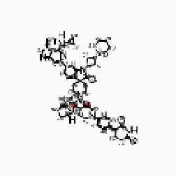 CC(C)n1cnc2cc(-c3ccc4c(c3)N([C@H]3C[C@@H](N5CCCCC5)C3)C(=O)C43CCN(C(=O)[C@@H]4C[C@H]5CC[C@@H](C4)N5C(=O)C4CCN(c5ccc(C6CCC(=O)NC6=O)cn5)CC4)CC3)nc(NC3CC3)c21